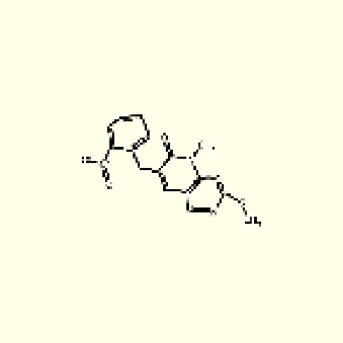 CSc1ncc2cc(Cc3ccccc3[N+](=O)[O-])c(=O)n(C)c2n1